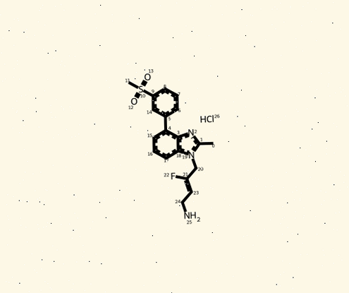 Cc1nc2c(-c3cccc(S(C)(=O)=O)c3)cccc2n1C/C(F)=C/CN.Cl